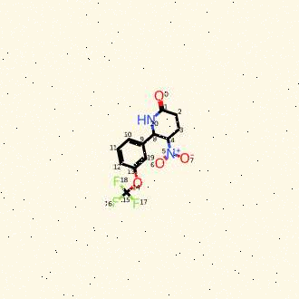 O=C1CCC([N+](=O)[O-])C(c2cccc(OC(F)(F)F)c2)N1